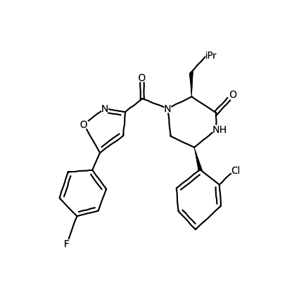 CC(C)C[C@H]1C(=O)N[C@@H](c2ccccc2Cl)CN1C(=O)c1cc(-c2ccc(F)cc2)on1